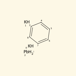 [KH].[KH].[PbH2].c1ccccc1